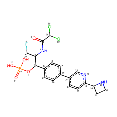 O=C(NC(CF)C(OP(=O)(O)O)c1ccc(-c2ccc(C3CCN3)nc2)cc1)C(Cl)Cl